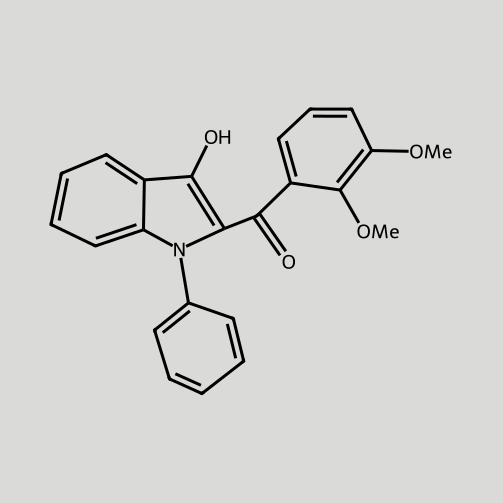 COc1cccc(C(=O)c2c(O)c3ccccc3n2-c2ccccc2)c1OC